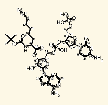 CC(C)(C)OC(=O)NC(CCCCN=[N+]=[N-])C(=O)O[C@H]1[C@@H](O)[C@H](n2cnc3c(N)ncnc32)O[C@@H]1COP(=O)(O)O[C@H]1C[C@H](n2ccc(N)nc2=O)O[C@H]1COP(=O)(O)O